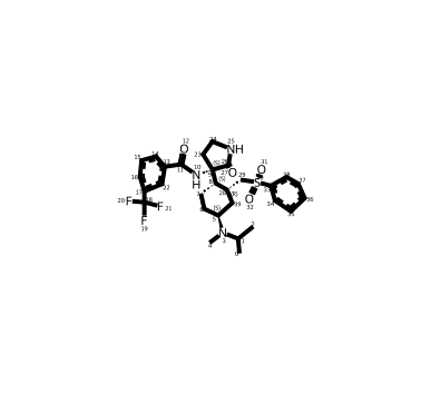 CC(C)N(C)[C@H]1CC[C@H]([C@@]2(NC(=O)c3cccc(C(F)(F)F)c3)CCNC2=O)[C@H](CS(=O)(=O)c2ccccc2)C1